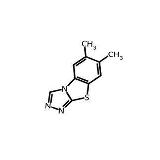 Cc1cc2sc3nncn3c2cc1C